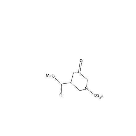 COC(=O)C1CC(=O)CN(C(=O)O)C1